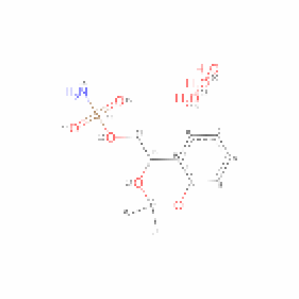 CC1(C)Oc2ccccc2C(COS(N)(=O)=O)O1.O.O.O